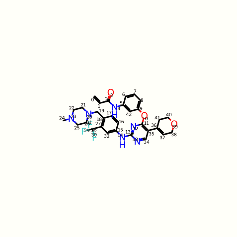 C=CC(=O)Nc1cccc(Oc2nc(Nc3ccc(CN4CCN(C)CC4)c(C(F)(F)F)c3)ncc2C2=CCOCC2)c1